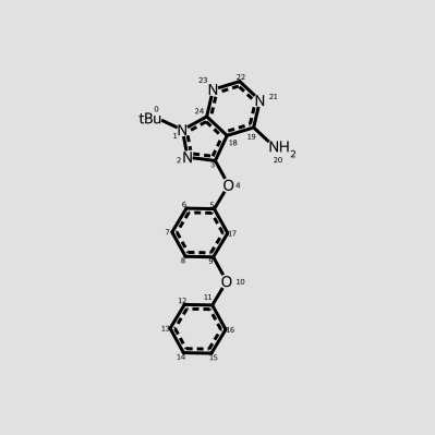 CC(C)(C)n1nc(Oc2cccc(Oc3ccccc3)c2)c2c(N)ncnc21